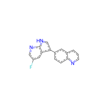 Fc1cnc2[nH]cc(-c3ccc4ncccc4c3)c2c1